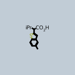 Cc1ccc2sc(C(C(=O)O)C(C)C)cc2c1